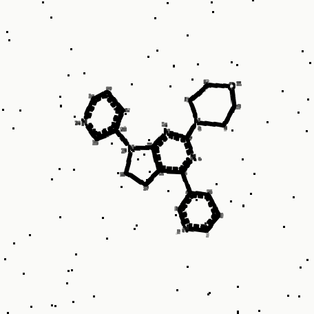 c1cncc(-c2nc(N3CCOCC3)nc3c2CCN3c2cccnc2)c1